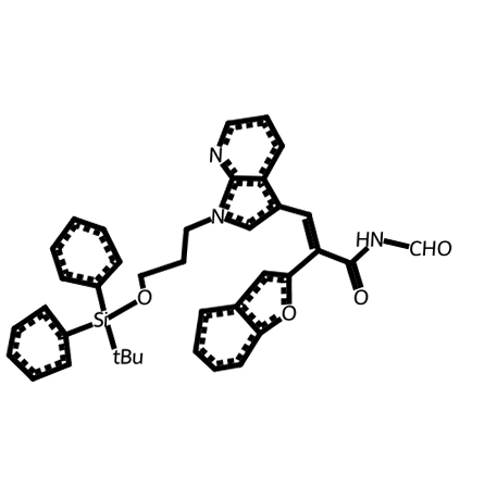 CC(C)(C)[Si](OCCCn1cc(/C=C(/C(=O)NC=O)c2cc3ccccc3o2)c2cccnc21)(c1ccccc1)c1ccccc1